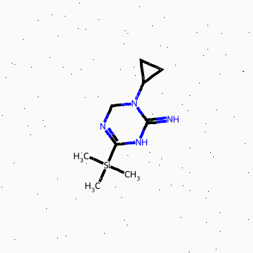 C[Si](C)(C)C1=NCN(C2CC2)C(=N)N1